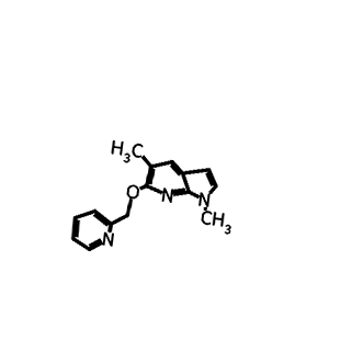 Cc1cc2ccn(C)c2nc1OCc1ccccn1